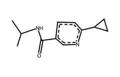 CC(C)NC(=O)c1ccc(C2CC2)nc1